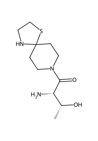 C[C@@H](O)[C@H](N)C(=O)N1CCC2(CC1)NCCS2